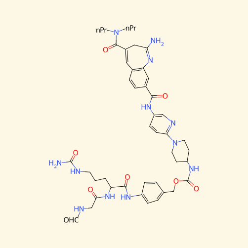 CCCN(CCC)C(=O)C1=Cc2ccc(C(=O)Nc3ccc(N4CCC(NC(=O)OCc5ccc(NC(=O)C(CCCNC(N)=O)NC(=O)CNC=O)cc5)CC4)nc3)cc2N=C(N)C1